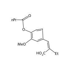 CCCC(=O)Oc1ccc(C=C(CC)C(=O)O)cc1OC